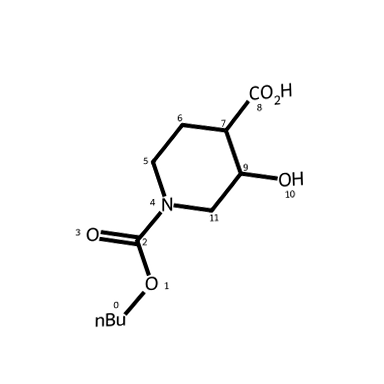 CCCCOC(=O)N1CCC(C(=O)O)C(O)C1